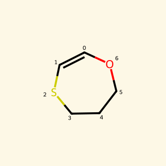 C1=CSCCCO1